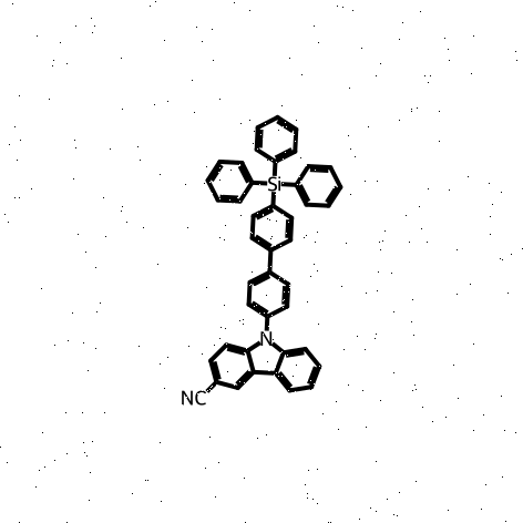 N#Cc1ccc2c(c1)c1ccccc1n2-c1ccc(-c2ccc([Si](c3ccccc3)(c3ccccc3)c3ccccc3)cc2)cc1